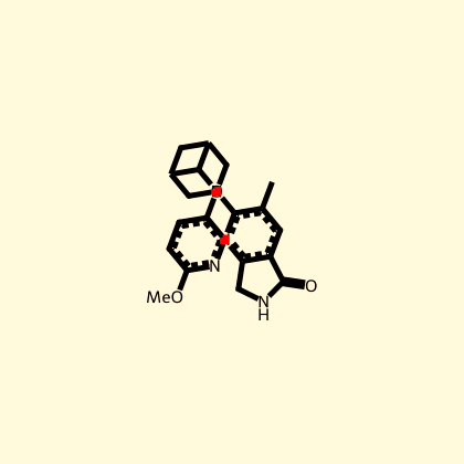 COc1ccc(OC2C3CC2CN(c2nc4c(cc2C)C(=O)NC4)C3)cn1